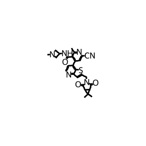 Cc1nc(C#N)cc(-c2ccnc3cc(CN4C(=O)C5C(C4=O)C5(C)C)sc23)c1C(=O)NC1CN(C)C1